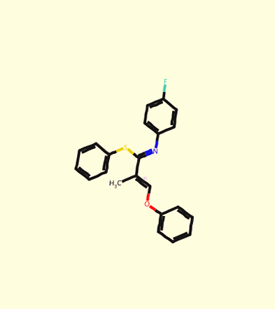 C/C(=C\Oc1ccccc1)C(=Nc1ccc(F)cc1)Sc1ccccc1